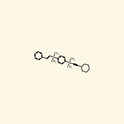 C[Si](C)(C#CC1CCCCC1)c1ccc([Si](C)(C)/C=C/c2ccccc2)cc1